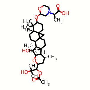 CC(=O)OC(C1C[C@@H](C)[C@H]2C(O1)[C@H](O)[C@@]1(C)C3CC[C@H]4C(C)(C)C(OC5CN(C(C)C(=O)O)CCO5)CCC45CC35CCC21C)C(C)(C)O